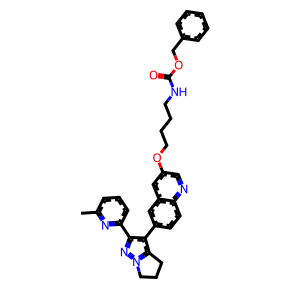 Cc1cccc(-c2nn3c(c2-c2ccc4ncc(OCCCCNC(=O)OCc5ccccc5)cc4c2)CCC3)n1